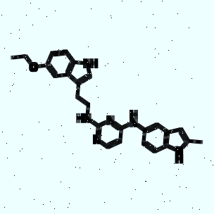 CCOc1ccc2[nH]cc(CCNc3nccc(Nc4ccc5[nH]c(C)cc5c4)n3)c2c1